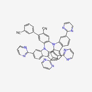 N#Cc1cccc(-c2cc(-n3c4cc(-c5ncccn5)ccc4c4ccc(-c5ncccn5)cc43)c(-n3c4cc(-c5ncccn5)ccc4c4ccc(-c5ncccn5)cc43)cc2C#N)c1